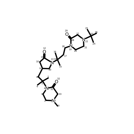 CN1CCN(C(C)(C)CC2CC(=O)N(C(C)(C)CCN3CCN(C(C)(C)C)CC3=O)C2)C(=O)C1